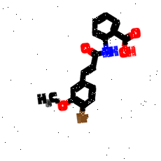 COc1cc(C=CC(=O)Nc2ccccc2C(=O)O)ccc1Br